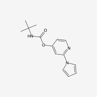 CC(C)(C)NC(=O)Oc1ccnc(-n2cccc2)c1